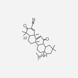 CN(C)N[C@]12CCC(C)(C)CC1C1C(=O)C=C3[C@@]4(C)C=C(C#N)C(=O)C(C)(C)[C@@H]4CC[C@@]3(C)[C@]1(C)CC2